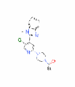 CCC(=O)N1CCN(c2cc(-c3nc4ccccc4n3C)c(Cl)cn2)CC1